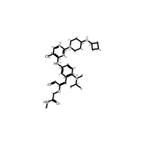 CNC(=O)CO/C(C=O)=C/c1cc(Nc2nc(N3CCC(OC4CCC4)CC3)ncc2Cl)ccc1N(C)C(C)C